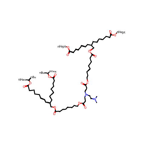 CCCCCCCOC(=O)CCCCCCC(CCCCCCC(=O)OCCCCCCC)COC(=O)CCCCCCCOC(=O)CCN(CCC(=O)OCCCCCCCC(=O)OCC(CCCCCCCC(=O)OC(CCCC)CCCCCC)CCCCCCCC(=O)OC(CCCC)CCCCCC)CCN(C)C